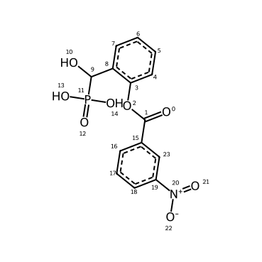 O=C(Oc1ccccc1C(O)P(=O)(O)O)c1cccc([N+](=O)[O-])c1